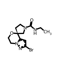 CCNC(=O)N1CC[C@]2(C1)OCCn1nc(Br)cc12